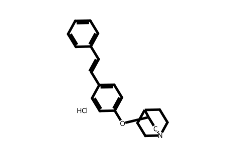 C(=Cc1ccc(OC2CN3CCC2CC3)cc1)c1ccccc1.Cl